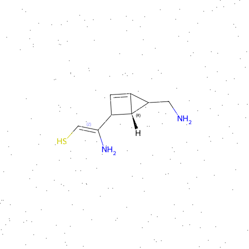 NCC1C2=CC(/C(N)=C/S)[C@H]21